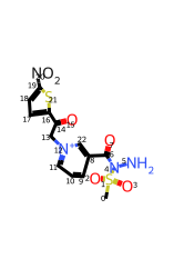 CS(=O)(=O)N(N)C(=O)c1ccc[n+](CC(=O)c2ccc([N+](=O)[O-])s2)c1